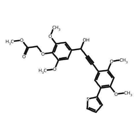 COC(=O)COc1c(OC)cc(C(O)C#Cc2cc(-c3cccs3)c(OC)cc2OC)cc1OC